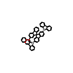 O=C(c1ccccc1)c1ccc2c(c1)C1(c3ccccc3-2)c2cc(-n3c4ccccc4c4ccccc43)ccc2-c2ccc(-n3c4ccccc4c4ccccc43)cc21